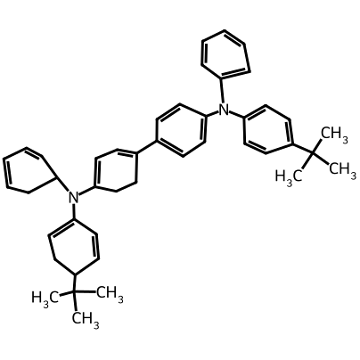 CC(C)(C)c1ccc(N(c2ccccc2)c2ccc(C3=CC=C(N(C4=CCC(C(C)(C)C)C=C4)C4C=CC=CC4)CC3)cc2)cc1